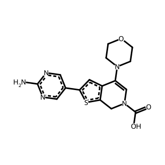 Nc1ncc(-c2cc3c(s2)CN(C(=O)O)C=C3N2CCOCC2)cn1